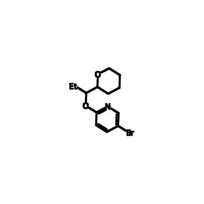 CCC(Oc1ccc(Br)cn1)C1CCCCO1